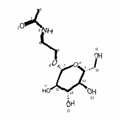 CC(=O)NCCO[C@@H]1O[C@H](CO)[C@@H](O)[C@H](O)[C@H]1O